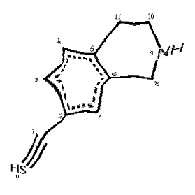 [SH]#Cc1ccc2c(c1)CNCC2